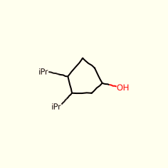 CC(C)C1CCC(O)CC1C(C)C